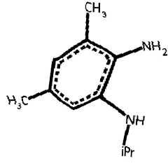 Cc1cc(C)c(N)c(NC(C)C)c1